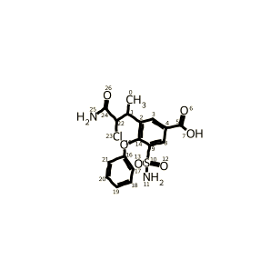 CC(c1cc(C(=O)O)cc(S(N)(=O)=O)c1Oc1ccccc1)C(Cl)C(N)=O